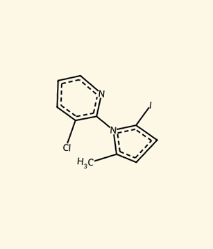 Cc1ccc(I)n1-c1ncccc1Cl